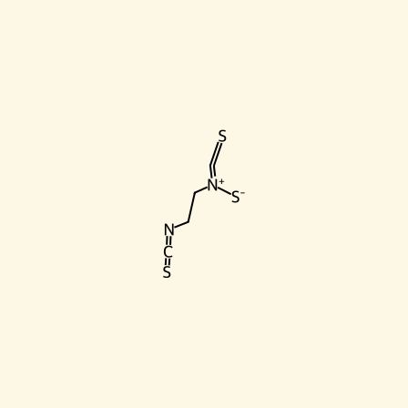 S=C=NCC[N+]([S-])=C=S